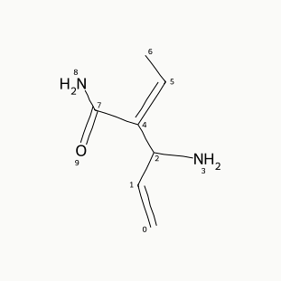 C=CC(N)C(=CC)C(N)=O